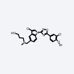 CC(C)Oc1ccc(-c2nc(-n3cc(Cl)c4cc(CN(C)CCCO)ccc43)no2)cc1Cl